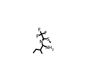 CCC(C)C(N)/N=C(\SC)C(F)(F)F